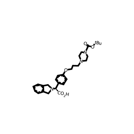 CC(C)(C)OC(=O)N1CCN(CCCOc2ccc([C@@H](C(=O)O)N3Cc4ccccc4C3)cc2)CC1